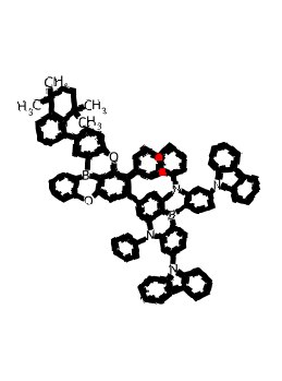 CC1(C)CCC(C)(C)c2c(-c3ccc4c(c3)B3c5ccccc5Oc5cc(-c6cc7c8c(c6)N(c6ccccc6)c6cc(-n9c%10ccccc%10c%10ccccc%109)ccc6B8c6ccc(-n8c9ccccc9c9ccccc98)cc6N7c6ccccc6)c(-c6ccccc6)c(c53)O4)cccc21